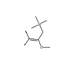 COC(C[Si](C)(C)C)=C(C)C